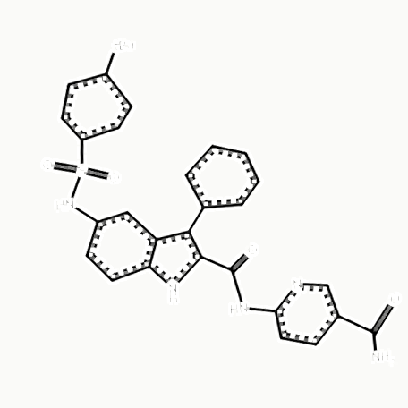 CC(C)(C)c1ccc(S(=O)(=O)Nc2ccc3[nH]c(C(=O)Nc4ccc(C(N)=O)cn4)c(-c4ccccc4)c3c2)cc1